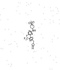 CS(=O)(=O)N1CCC(Nc2ncc(F)c(-c3sc(CC4CNC4)nc3C(F)(F)F)n2)CC1